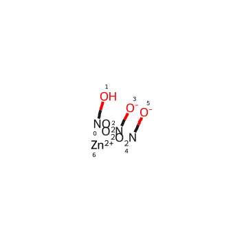 O=[N+]([O-])O.O=[N+]([O-])[O-].O=[N+]([O-])[O-].[Zn+2]